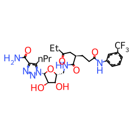 CCCc1c(C(N)=O)nnn1[C@@H]1O[C@H](CNC(=O)[C@H](CCC(=O)Nc2cccc(C(F)(F)F)c2)CC(=O)CC)[C@@H](O)[C@H]1O